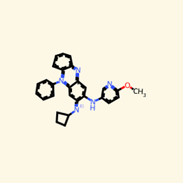 COc1ccc(Nc2cc3nc4ccccc4n(-c4ccccc4)c-3c/c2=N\C2CCC2)cn1